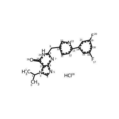 CC(C)n1cnc2nc(Cc3ccc(-c4cc(F)cc(F)c4)nc3)[nH]c(=O)c21.Cl